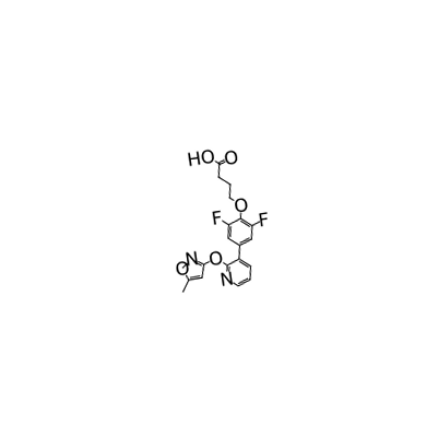 Cc1cc(Oc2ncccc2-c2cc(F)c(OCCCC(=O)O)c(F)c2)no1